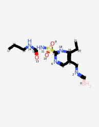 B/C=N/Cc1cnc(S(=O)(=O)NC(=O)NCCC)nc1CC